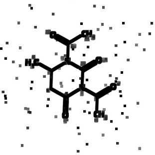 CC(=O)N1C(=O)CC(C)N(C(C)=O)C1=O